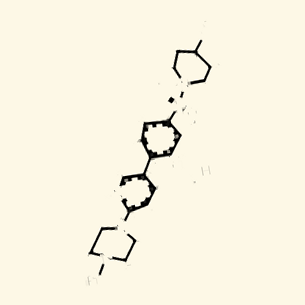 CC(C)N1CCN(c2ccc(-c3ccc(S(=O)(=O)N4CCC(O)CC4)cc3)cn2)CC1.Cl.Cl